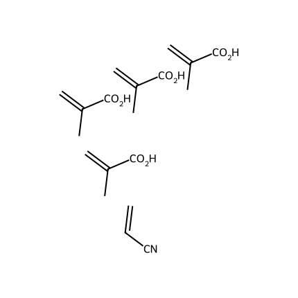 C=C(C)C(=O)O.C=C(C)C(=O)O.C=C(C)C(=O)O.C=C(C)C(=O)O.C=CC#N